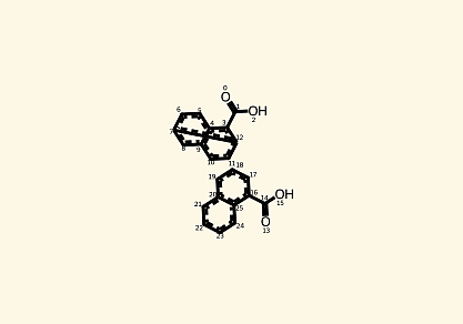 O=C(O)c1c2ccc3cc2ccc13.O=C(O)c1cccc2ccccc12